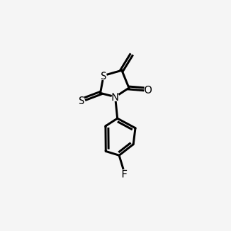 C=C1SC(=S)N(c2ccc(F)cc2)C1=O